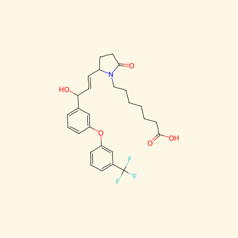 O=C(O)CCCCCCN1C(=O)CCC1C=CC(O)c1cccc(Oc2cccc(C(F)(F)F)c2)c1